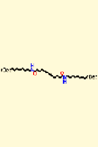 CCCCCCCCCCCCCCCCCCNC(=O)CCCC#CC#CCCCC(=O)NCCCCCCCCCCCCCCCCCC